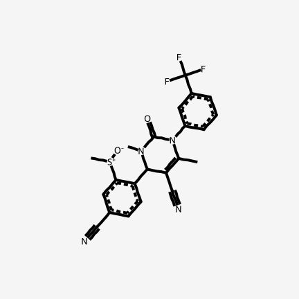 CC1=C(C#N)C(c2ccc(C#N)cc2[S+](C)[O-])N(C)C(=O)N1c1cccc(C(F)(F)F)c1